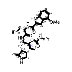 C/C=C(\OC(=O)NC(C)C)[C@H](C[C@@H]1CCNC1=O)NC(=O)[C@H](CC(C)C)NC(=O)c1cc2c(OC)cccc2[nH]1